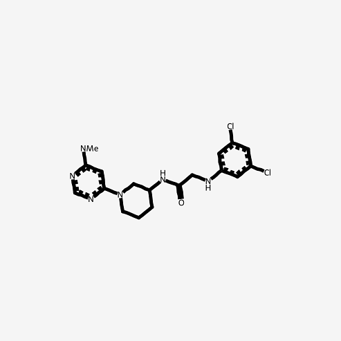 CNc1cc(N2CCCC(NC(=O)CNc3cc(Cl)cc(Cl)c3)C2)ncn1